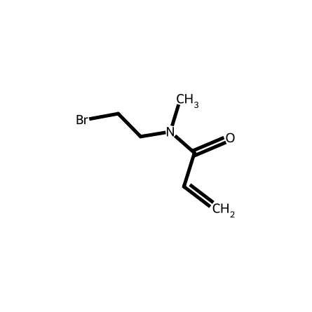 C=CC(=O)N(C)CCBr